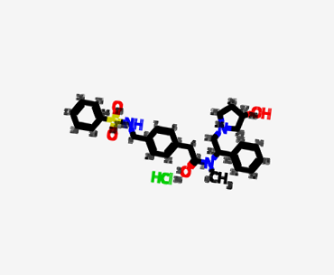 CN(C(=O)Cc1ccc(CNS(=O)(=O)c2ccccc2)cc1)C(CN1CCC(O)C1)c1ccccc1.Cl